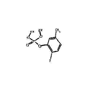 CCOP(=O)(OCC)Oc1cc(C)ccc1F